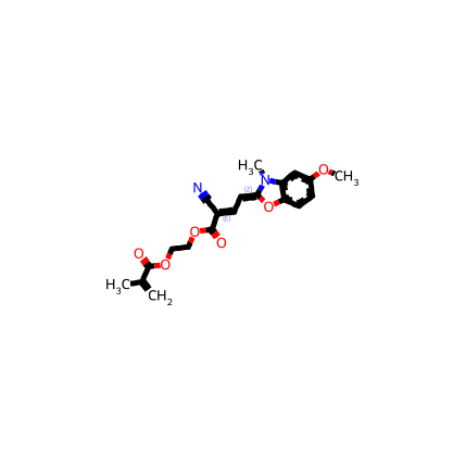 C=C(C)C(=O)OCCOC(=O)/C(C#N)=C/C=C1\Oc2ccc(OC)cc2N1C